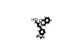 Cn1cnc2ccc(-c3cc(CO)nn3Cc3ccccc3Cl)cc21